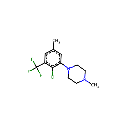 Cc1cc(N2CCN(C)CC2)c(Cl)c(C(F)(F)F)c1